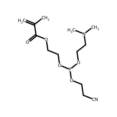 C=C(C)C(=O)OCCOP(OCCC#N)OCCN(C)C